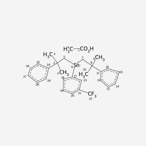 CC(=O)O.CC(C)([CH2][Sn]([CH2]C(C)(C)c1ccccc1)[c]1cccc(C(F)(F)F)c1)c1ccccc1